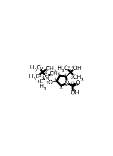 CC(C)(O)[C@@H]1C[C@@H](O[Si](C)(C)C(C)(C)C)CN1C(=O)O